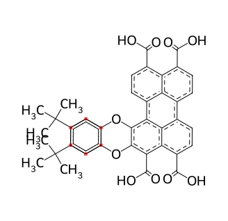 CC(C)(C)c1ccc(Oc2c(C(=O)O)c3c(C(=O)O)ccc4c5ccc(C(=O)O)c6c(C(=O)O)ccc(c(c2Oc2ccc(C(C)(C)C)cc2)c34)c65)cc1